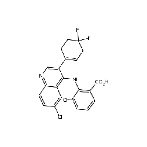 O=C(O)c1cccc(Cl)c1Nc1c(C2=CCC(F)(F)CC2)cnc2ccc(Cl)cc12